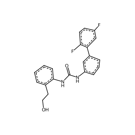 O=C(Nc1cccc(-c2cc(F)ccc2F)c1)Nc1ccccc1CCO